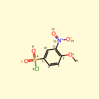 COc1ccc(S(=O)(=O)Cl)cc1[N+](=O)[O-]